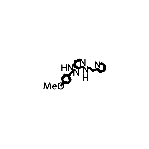 COc1ccc(-c2nc3c(NCCc4ccccn4)nccc3[nH]2)cc1